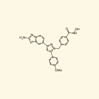 COc1ccc(-c2cc(-c3ccc4nc(N)sc4c3)nn2Cc2ccc(C(=O)NO)cc2)cc1